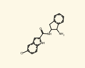 NC1c2ccccc2CC1NC(=O)c1cc2cc(Cl)ccc2[nH]1